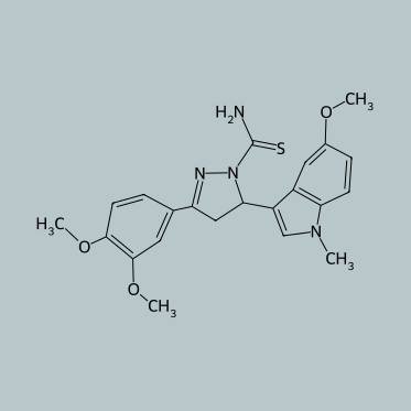 COc1ccc2c(c1)c(C1CC(c3ccc(OC)c(OC)c3)=NN1C(N)=S)cn2C